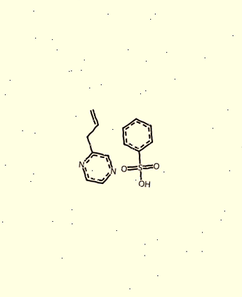 C=CCc1cnccn1.O=S(=O)(O)c1ccccc1